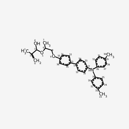 C=C(C)C(O)OC(C)COc1ccc(-c2ccc(N(c3ccc(C)cc3)c3ccc(C)cc3)cc2)cc1